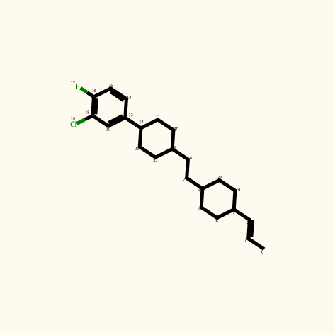 C/C=C/C1CCC(CCC2CCC(c3ccc(F)c(Cl)c3)CC2)CC1